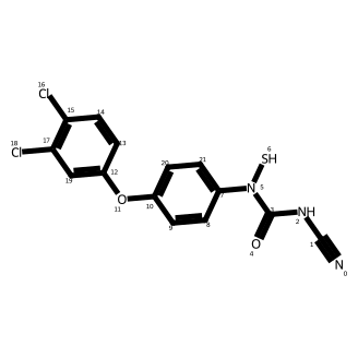 N#CNC(=O)N(S)c1ccc(Oc2ccc(Cl)c(Cl)c2)cc1